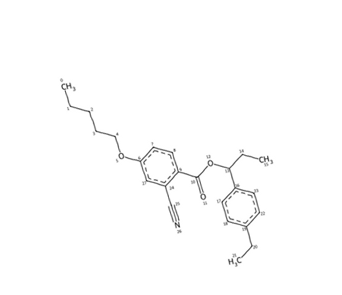 CCCCCOc1ccc(C(=O)OC(CC)c2ccc(CC)cc2)c(C#N)c1